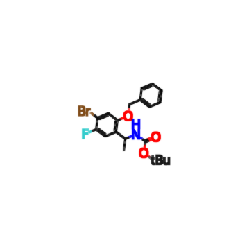 CC(NC(=O)OC(C)(C)C)c1cc(F)c(Br)cc1OCc1ccccc1